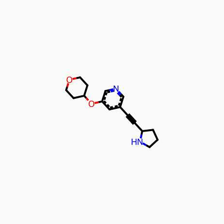 C(#CC1CCCN1)c1cncc(OC2CCOCC2)c1